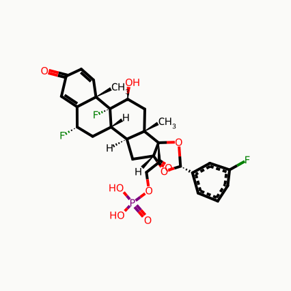 C[C@]12C=CC(=O)C=C1[C@@H](F)C[C@H]1[C@@H]3C[C@H]4O[C@@H](c5cccc(F)c5)O[C@@]4(C(=O)COP(=O)(O)O)[C@@]3(C)C[C@H](O)[C@@]12F